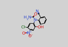 N#Cc1ccccc1N(C(N)=O)c1cc(Cl)c([N+](=O)[O-])cc1O